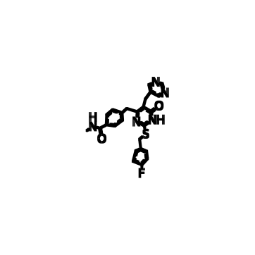 CNC(=O)c1ccc(Cc2nc(SCc3ccc(F)cc3)[nH]c(=O)c2Cc2cncnc2)cc1